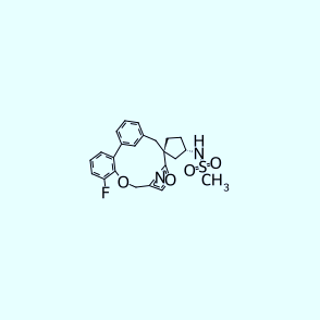 CS(=O)(=O)N[C@H]1CC[C@@]2(Cc3cccc(c3)-c3cccc(F)c3OCc3coc2n3)C1